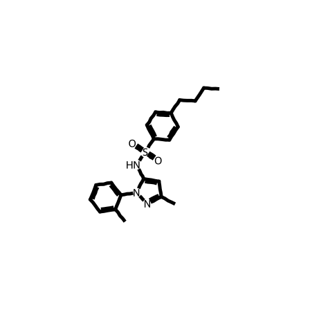 CCCCc1ccc(S(=O)(=O)Nc2cc(C)nn2-c2ccccc2C)cc1